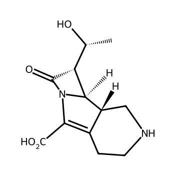 C[C@@H](O)[C@H]1C(=O)N2C(C(=O)O)=C3CCNC[C@H]3[C@H]12